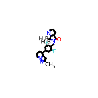 BC1(B)c2ncccc2C(=O)N1Cc1c(F)cc(-c2cccn3nc(C)cc23)cc1F